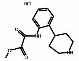 COC(=O)C(=O)Nc1ccccc1C1CCNCC1.Cl